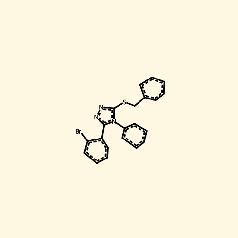 Brc1ccccc1-c1nnc(SCc2ccccc2)n1-c1ccccc1